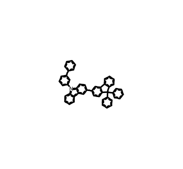 c1ccc(-c2cccc(-n3c4ccccc4c4cc(-c5ccc6c(c5)-c5ccccc5C6(c5ccccc5)c5ccccc5)ccc43)c2)cc1